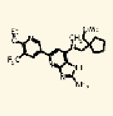 CCOc1ncc(-c2cc(N(C)CC3(COC)CCCC3)c3[nH]c(N)nc3n2)cc1C(F)(F)F